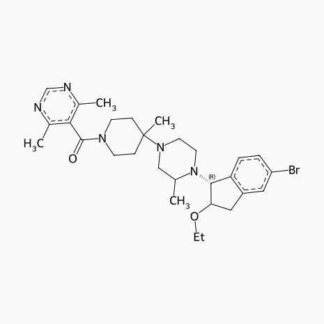 CCOC1Cc2cc(Br)ccc2[C@H]1N1CCN(C2(C)CCN(C(=O)c3c(C)ncnc3C)CC2)CC1C